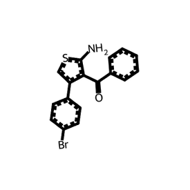 Nc1scc(-c2ccc(Br)cc2)c1C(=O)c1ccccc1